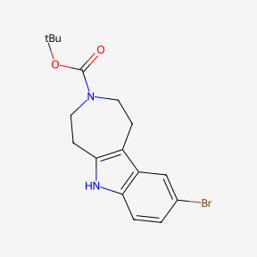 CC(C)(C)OC(=O)N1CCc2[nH]c3ccc(Br)cc3c2CC1